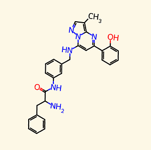 Cc1cnn2c(NCc3cccc(NC(=O)C(N)Cc4ccccc4)c3)cc(-c3ccccc3O)nc12